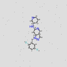 Fc1ccc(F)c(Cn2ncc3cnc(Nc4cccnc4)cc32)c1